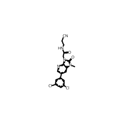 Cn1c(=O)n(CC(=O)NCCC#N)c2ncc(-c3cc(Cl)cc(Cl)c3)cc21